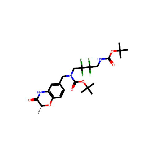 C[C@H]1Oc2ccc(CN(CC(F)(F)C(F)(F)CNC(=O)OC(C)(C)C)C(=O)OC(C)(C)C)cc2NC1=O